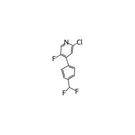 Fc1cnc(Cl)cc1-c1ccc(C(F)F)cc1